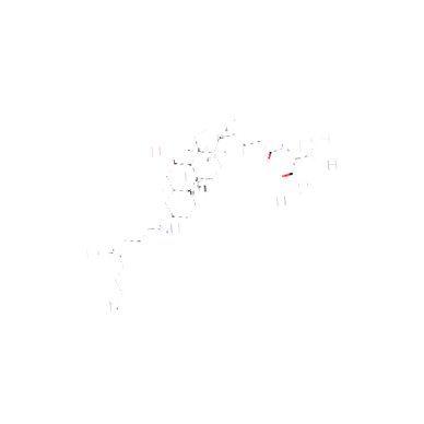 COC(=O)[C@@H](NC(=O)CC[C@@H](C)[C@H]1CC[C@H]2[C@@H]3[C@H](O)C[C@@H]4C[C@@H](NCCCN(C)CCCN)CC[C@]4(C)[C@H]3CC[C@]12C)C(C)C